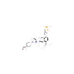 C[C@@H](CO)c1ccc(N2CC(CS(C)(=O)=O)C2)c2cnc(Nc3ccnc(N4CCC(C5CCO5)CC4)n3)cc12